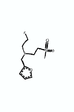 O=S(=O)(F)CCN(CCF)Cc1ccco1